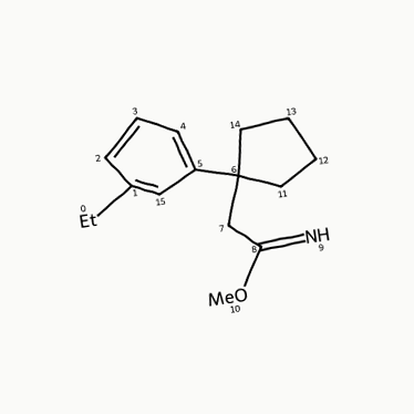 CCc1cccc(C2(CC(=N)OC)CCCC2)c1